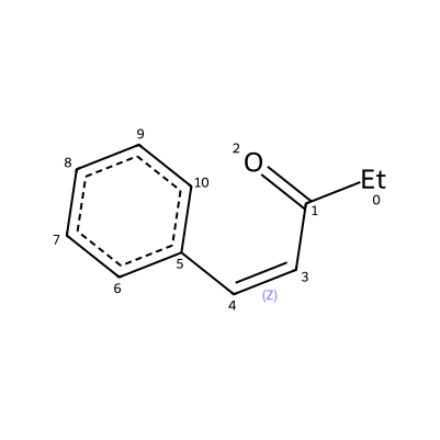 CCC(=O)/C=C\c1ccccc1